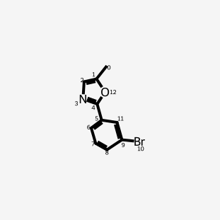 Cc1cnc(-c2cccc(Br)c2)o1